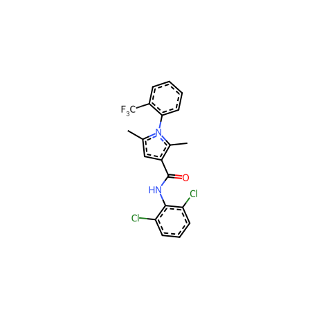 Cc1cc(C(=O)Nc2c(Cl)cccc2Cl)c(C)n1-c1ccccc1C(F)(F)F